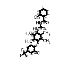 Cc1c(C)c(Oc2ccc(C(F)(F)F)cc2Cl)c(C)c(C)c1NC(=O)NC(=O)c1ccccc1Cl